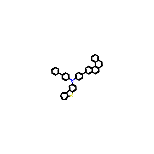 c1ccc(-c2ccc(N(c3ccc(-c4ccc5c(ccc6ccc7ccccc7c65)c4)cc3)c3ccc4sc5ccccc5c4c3)cc2)cc1